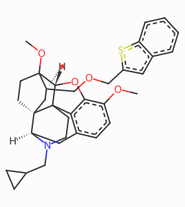 COc1ccc2c3c1O[C@H]1C4(OC)CC[C@@]5(C[C@]4(C)COCc4cc6ccccc6s4)[C@@H](C2)N(CC2CC2)CCC315